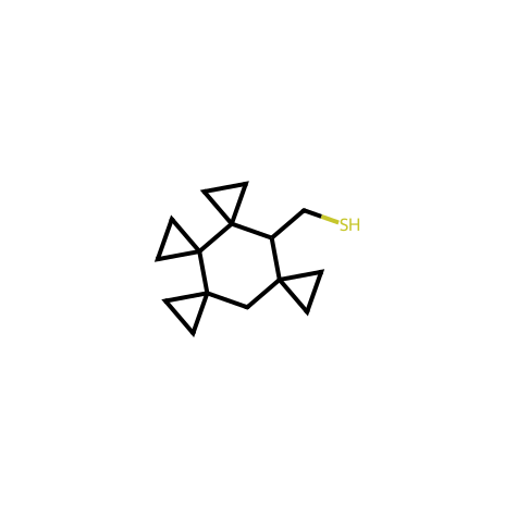 SCC1C2(CC2)CC2(CC2)C2(CC2)C12CC2